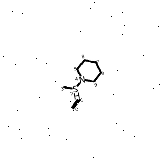 C=C[SH](C)N1CCCCC1